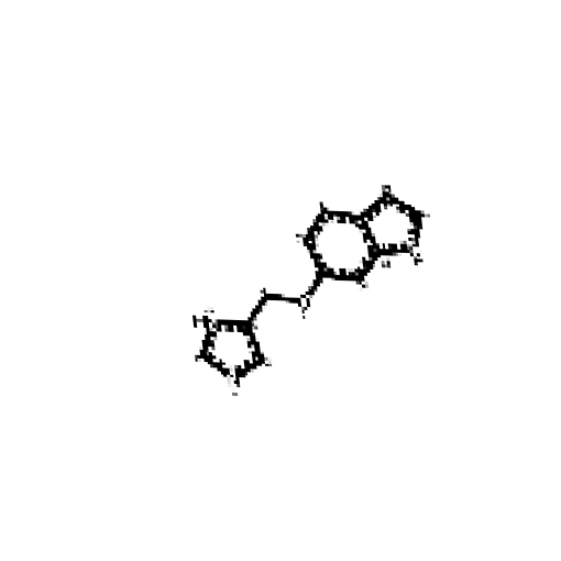 c1ncc(COc2ccc3ccoc3c2)[nH]1